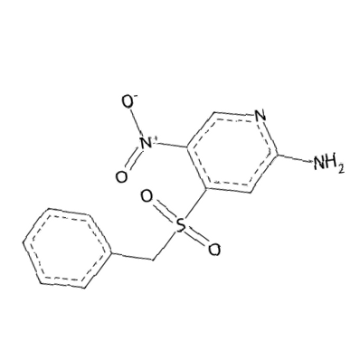 Nc1cc(S(=O)(=O)Cc2ccccc2)c([N+](=O)[O-])cn1